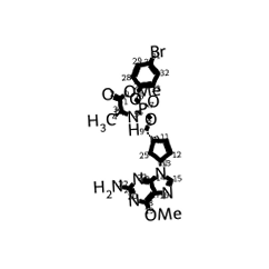 COC(=O)[C@H](C)NP(=O)(OC[C@@H]1C=C[C@H](n2cnc3c(OC)nc(N)nc32)C1)Oc1ccc(Br)cc1